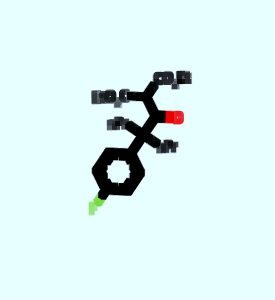 CCCC(CCC)(C(=O)C(C(=O)OCC)C(=O)OCC)c1ccc(F)cc1